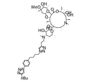 CCCCc1cn(-c2ccc(CCCCn3cc(CCN(C)[C@H]4C[C@@H](C)O[C@@H](O[C@@H]5[C@@H](C)[C@H](O[C@H]6C[C@@](C)(OC)[C@@H](O)[C@H](C)O6)[C@@H](C)C(=O)O[C@H](I)[C@@](C)(O)[C@H](O)[C@@H](C)N(C)C[C@H](C)C[C@@]5(C)O)[C@@H]4O)nn3)cc2)nn1